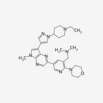 CCN1CCC(n2cc(-c3cn(C)c4ncc(-c5cnc(N6CCOCC6)c(CN(C)C)c5)nc34)cn2)CC1